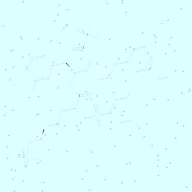 CCCC(CCC)S(=O)(=O)CC(NC(=O)O[C@H]1CCS(=O)(=O)C1)C(=O)N[C@@H](Cc1cc(F)cc(F)c1)[C@@H](CNCc1cccc(CC)c1)OC(=O)C(F)(F)F